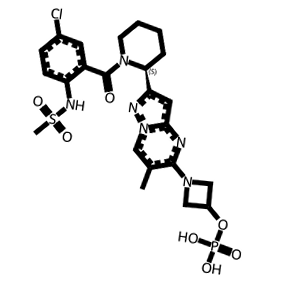 Cc1cn2nc([C@@H]3CCCCN3C(=O)c3cc(Cl)ccc3NS(C)(=O)=O)cc2nc1N1CC(OP(=O)(O)O)C1